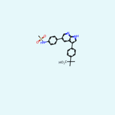 CC(C)(C(=O)O)c1ccc(-c2c[nH]c3ncc(-c4ccc(NS(C)(=O)=O)cc4)cc23)cc1